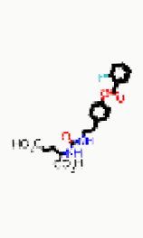 O=C(O)CC[C@H](NC(=O)NCCc1ccc(OC(=O)c2ccccc2F)cc1)C(=O)O